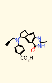 C#CCN(c1ccc(C(=O)O)cc1)[C@H]1CCc2cc3nc(C)[nH]c(=O)c3cc21